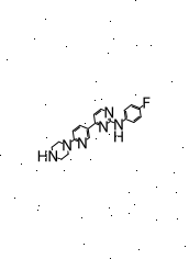 Fc1ccc(Nc2nccc(-c3ccc(N4CCNCC4)nc3)n2)cc1